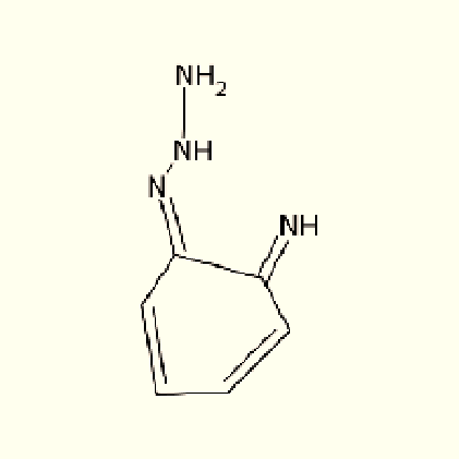 N=C1C=CC=C/C1=N/NN